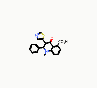 CN1c2cccc(C(=O)O)c2C(=O)C(c2cncs2)C1c1ccccc1